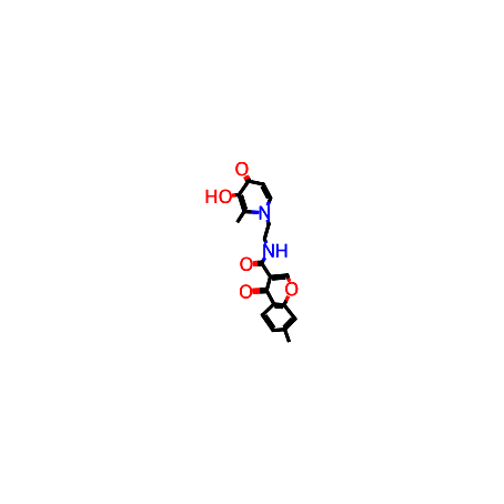 Cc1ccc2c(=O)c(C(=O)NCCn3ccc(=O)c(O)c3C)coc2c1